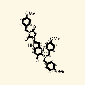 COc1ccc(CN2C(=O)CN(c3cc4nc(N(Cc5ccc(OC)cc5)Cc5ccc(OC)cc5)c(C)cc4[nH]3)C2=O)cc1